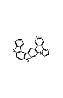 c1ccc2c(c1)sc1ccc3sc4cc5c(cc4c3c12)c1cnccc1c1nccn51